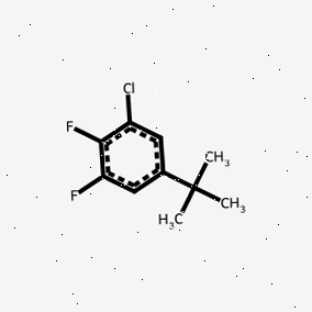 CC(C)(C)c1cc(F)c(F)c(Cl)c1